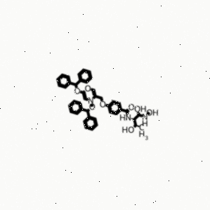 C[C@@H](O)[C@H](NC(=O)c1ccc(OCC2=COC(OC(c3ccccc3)c3ccccc3)=CN2OC(c2ccccc2)c2ccccc2)cc1)C(O)NO